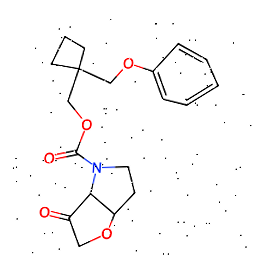 O=C1COC2CCN(C(=O)OCC3(COc4ccccc4)CCC3)C12